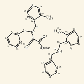 COC(=O)C(=O)N(Cc1ccccn1)Cc1ncccc1C.Cc1cccnc1CNCc1ccccn1